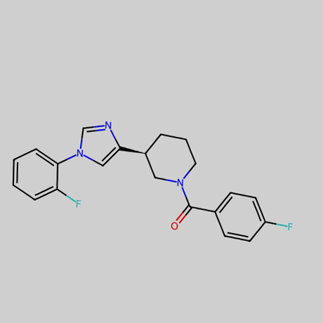 O=C(c1ccc(F)cc1)N1CCC[C@H](c2cn(-c3ccccc3F)cn2)C1